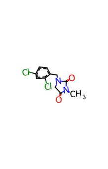 CN1C(=O)CN(Cc2ccc(Cl)cc2Cl)C1=O